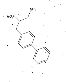 NCC(Cc1ccc(-c2ccccc2)cc1)C(=O)O